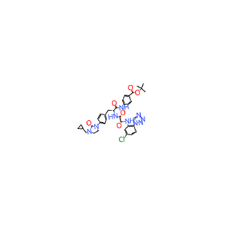 CC(C)(C)OC(=O)c1ccc(NC(=O)[C@H](Cc2ccc(N3CCN(CC4CC4)C3=O)cc2)NC(=O)C(=O)Nc2cc(Cl)ccc2-n2cnnn2)cc1